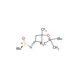 CC(C)(C)[S@@+]([O-])N=C1CC(O[Si](C)(C)C(C)(C)C)(C(F)(F)F)C1